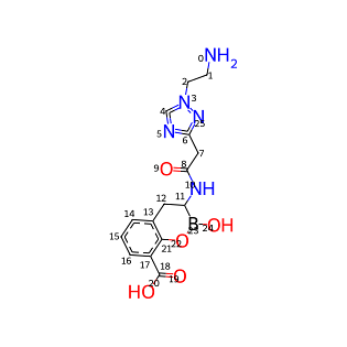 NCCn1cnc(CC(=O)NC2Cc3cccc(C(=O)O)c3OB2O)n1